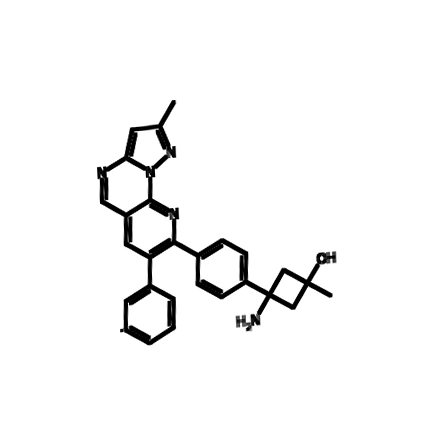 Cc1cc2ncc3cc(-c4c[c]ccc4)c(-c4ccc(C5(N)CC(C)(O)C5)cc4)nc3n2n1